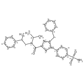 CC(CN(C(=O)c1nc(Cc2ccccc2)n(-c2ccc(S(N)(=O)=O)cc2)n1)C(C)C)c1ccccc1